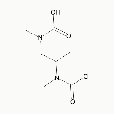 CC(CN(C)C(=O)O)N(C)C(=O)Cl